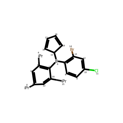 CC(C)c1cc(C(C)C)c(B(c2ccc(Cl)cc2Br)C2C=CC=C2)c(C(C)C)c1